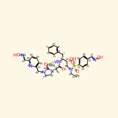 CCC(C)[C@@](C)(C(=O)N[C@@H](Cc1ccccc1)[C@H](O)CN(CC(C)C)S(=O)(=O)c1ccc(C=NO)cc1)N1CCN(Cc2cccc(C=NO)n2)C1=O